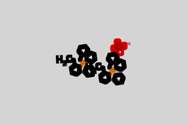 C=Cc1ccccc1[P+](Cc1ccccc1)(c1ccccc1)c1ccccc1.C=Cc1ccccc1[P+](Cc1ccccc1)(c1ccccc1)c1ccccc1.O=S(=O)([O-])[O-]